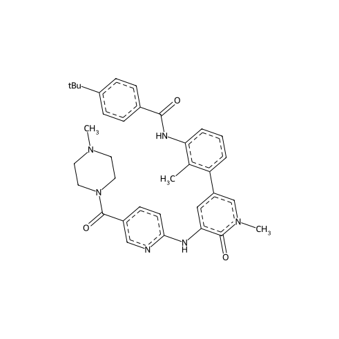 Cc1c(NC(=O)c2ccc(C(C)(C)C)cc2)cccc1-c1cc(Nc2ccc(C(=O)N3CCN(C)CC3)cn2)c(=O)n(C)c1